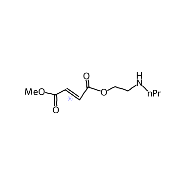 CCCNCCOC(=O)/C=C/C(=O)OC